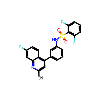 N#Cc1cc(-c2cccc(NS(=O)(=O)c3c(F)cccc3F)c2)c2ccc(F)cc2n1